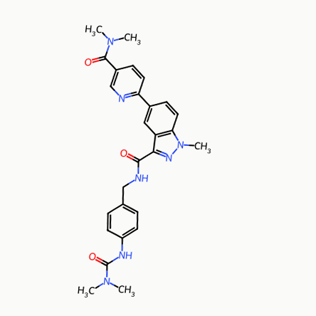 CN(C)C(=O)Nc1ccc(CNC(=O)c2nn(C)c3ccc(-c4ccc(C(=O)N(C)C)cn4)cc23)cc1